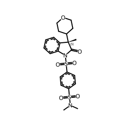 CN(C)S(=O)(=O)c1ccc(S(=O)(=O)N2C(=O)[C@@](C)(C3CCOCC3)c3ccccc32)cc1